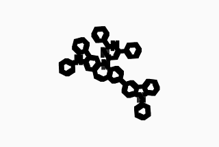 C1=Cc2cc3c(cc2N(c2cc(-c4ccccc4)nc(-c4ccccc4)n2)c2ccc(-c4ccc5c(c4)c4ccccc4n5-c4ccccc4)cc21)c1ccccc1n3-c1ccccc1